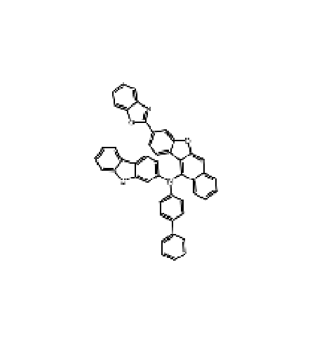 c1ccc(-c2ccc(N(c3ccc4c(c3)oc3ccccc34)c3c4ccccc4cc4oc5cc(-c6nc7ccccc7o6)ccc5c34)cc2)cc1